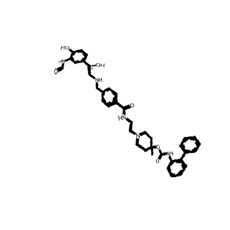 CC1(OC(=O)Nc2ccccc2-c2ccccc2)CCN(CCNC(=O)c2ccc(CNC[C@H](O)c3ccc(O)c(NC=O)c3)cc2)CC1